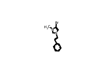 CN1CN(C=Cc2ccccc2)C=C1Br